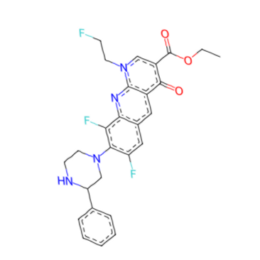 CCOC(=O)c1cn(CCF)c2nc3c(F)c(N4CCNC(c5ccccc5)C4)c(F)cc3cc2c1=O